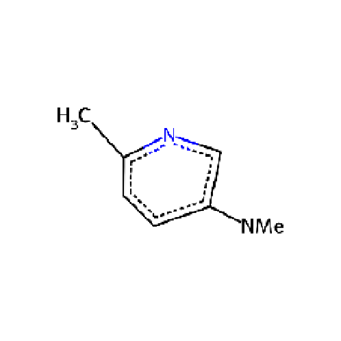 [CH2]Nc1ccc(C)nc1